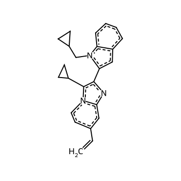 C=Cc1ccn2c(C3CC3)c(-c3cc4ccccc4n3CC3CC3)nc2c1